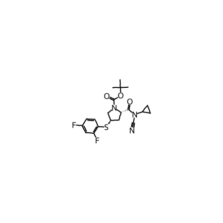 CC(C)(C)OC(=O)N1C[C@H](Sc2ccc(F)cc2F)C[C@H]1C(=O)N(C#N)C1CC1